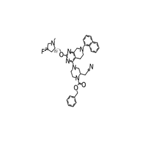 CN1C[C@H](F)C[C@H]1COc1nc2c(c(N3CCN(C(=O)OCc4ccccc4)C(CC#N)C3)n1)CCN(c1cccc3ccccc13)C2